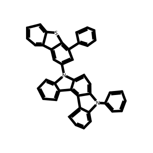 c1ccc(-c2cc(-n3c4ccccc4c4c5c6ccccc6n(-c6ccccc6)c5ccc43)cc3c2sc2ccccc23)cc1